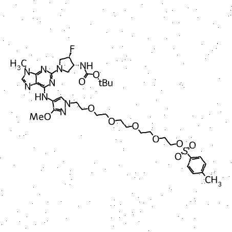 COc1nn(CCOCCOCCOCCOCCOS(=O)(=O)c2ccc(C)cc2)cc1Nc1nc(N2C[C@@H](F)[C@H](NC(=O)OC(C)(C)C)C2)nc2c1ncn2C